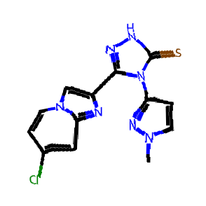 Cn1ccc(-n2c(-c3cn4ccc(Cl)cc4n3)n[nH]c2=S)n1